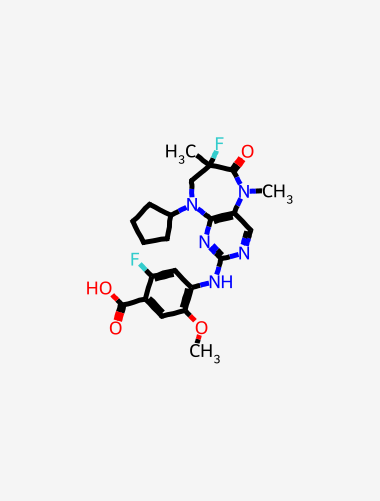 COc1cc(C(=O)O)c(F)cc1Nc1ncc2c(n1)N(C1CCCC1)CC(C)(F)C(=O)N2C